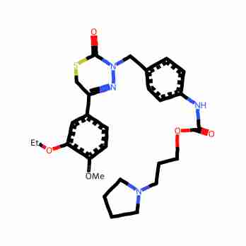 CCOc1cc(C2=NN(Cc3ccc(NC(=O)OCCCN4CCCC4)cc3)C(=O)SC2)ccc1OC